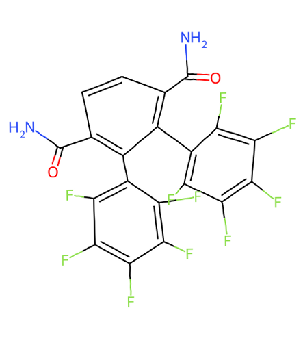 NC(=O)c1ccc(C(N)=O)c(-c2c(F)c(F)c(F)c(F)c2F)c1-c1c(F)c(F)c(F)c(F)c1F